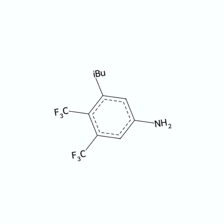 CCC(C)c1cc(N)cc(C(F)(F)F)c1C(F)(F)F